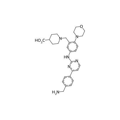 NCc1ccc(-c2ccnc(Nc3ccc(N4CCOCC4)c(CN4CCC(C(=O)O)CC4)c3)n2)cc1